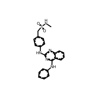 CNS(=O)(=O)Cc1ccc(Nc2nc(Nc3ccccc3)c3ccccc3n2)cc1